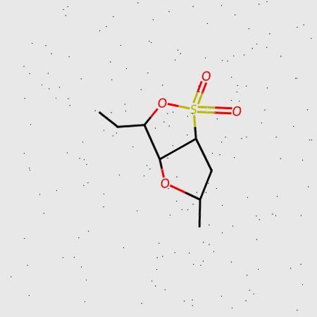 CCC1OS(=O)(=O)C2CC(C)OC12